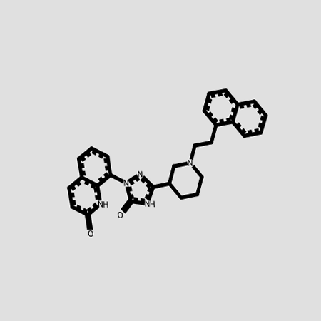 O=c1ccc2cccc(-n3nc(C4CCCN(CCc5cccc6ccccc56)C4)[nH]c3=O)c2[nH]1